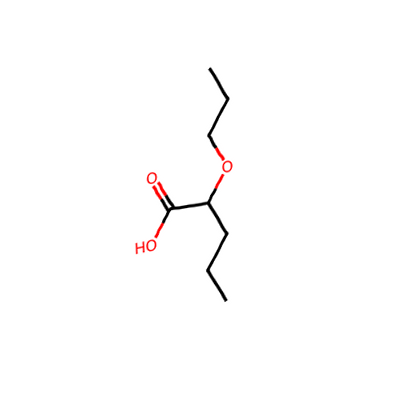 CCCOC(CCC)C(=O)O